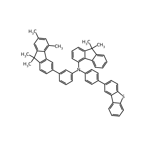 Cc1cc(C)c2c(c1)C(C)(C)c1ccc(-c3cccc(N(c4ccc(-c5ccc6sc7ccccc7c6c5)cc4)c4cccc5c4-c4ccccc4C5(C)C)c3)cc1-2